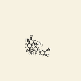 COc1cc(-c2ccc(Cl)c(C#N)c2)c(F)cc1-c1c(S(=O)(=O)O)ccc2[nH]c(=O)ccc12